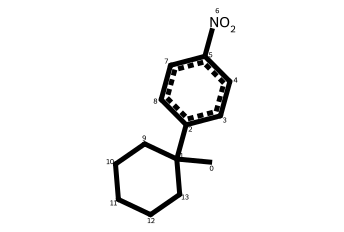 CC1(c2ccc([N+](=O)[O-])cc2)CCCCC1